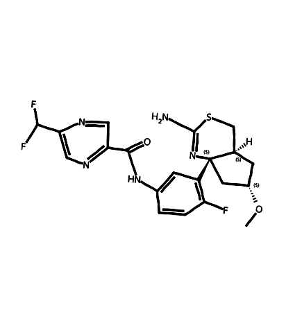 CO[C@H]1C[C@@H]2CSC(N)=N[C@@]2(c2cc(NC(=O)c3cnc(C(F)F)cn3)ccc2F)C1